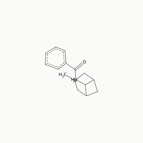 CN1CC2CC(C1)C2NC(=O)c1ccccc1